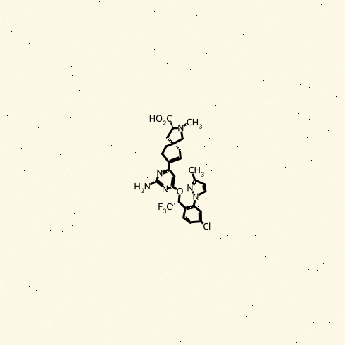 Cc1ccn(-c2cc(Cl)ccc2[C@@H](Oc2cc(C3=CC[C@]4(CC3)C[C@@H](C(=O)O)N(C)C4)nc(N)n2)C(F)(F)F)n1